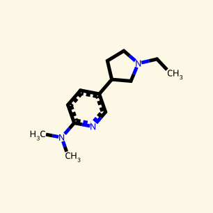 CCN1CCC(c2ccc(N(C)C)nc2)C1